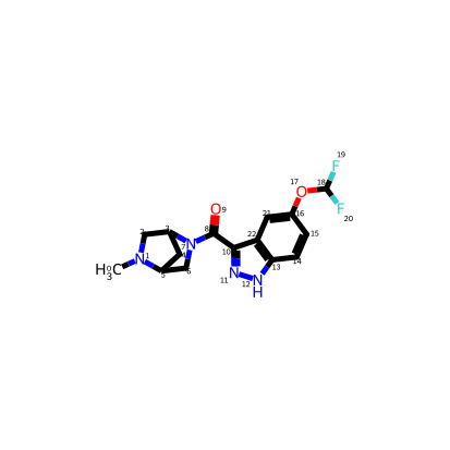 CN1CC2CC1CN2C(=O)c1n[nH]c2ccc(OC(F)F)cc12